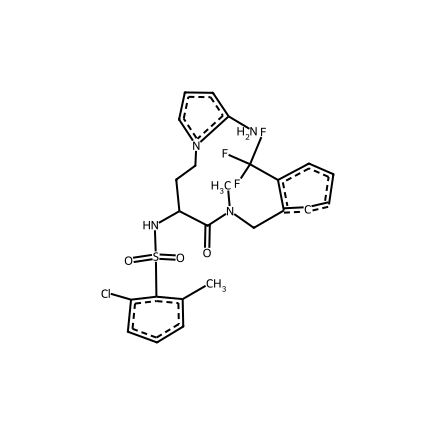 Cc1cccc(Cl)c1S(=O)(=O)NC(CCn1cccc1N)C(=O)N(C)Cc1ccccc1C(F)(F)F